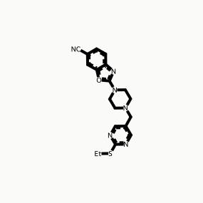 CCSc1ncc(CN2CCN(c3nc4ccc(C#N)cc4o3)CC2)cn1